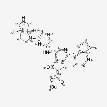 Cn1ccc2c(-c3ncc(Nc4cncc(N5CC[C@@H]6CNC[C@@H]65)n4)c4c3CN(C(=O)OC(C)(C)C)C4=O)ccnc21